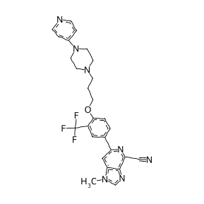 Cn1cnc2c(C#N)nc(-c3ccc(OCCCN4CCN(c5ccncc5)CC4)c(C(F)(F)F)c3)cc21